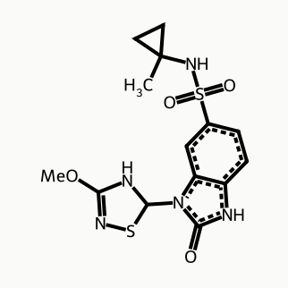 COC1=NSC(n2c(=O)[nH]c3ccc(S(=O)(=O)NC4(C)CC4)cc32)N1